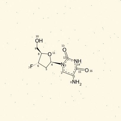 Nc1cn([C@H]2C[C@H](F)[C@@H](CO)O2)c(=O)[nH]c1=O